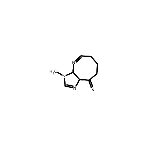 CN1C=NC2C(=S)CCC/C=N\C21